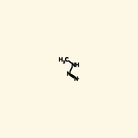 CNN=[N]